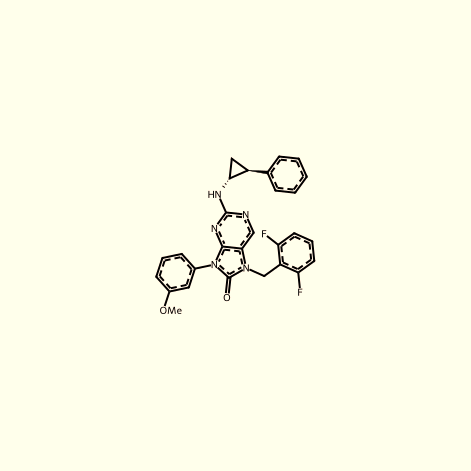 COc1cccc(-n2c(=O)n(Cc3c(F)cccc3F)c3cnc(N[C@@H]4C[C@H]4c4ccccc4)nc32)c1